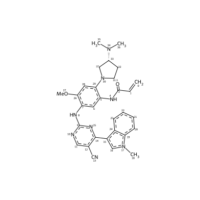 C=CC(=O)Nc1cc(Nc2ncc(C#N)c(-c3cn(C)c4ccccc34)n2)c(OC)cc1N1CC[C@@H](N(C)C)C1